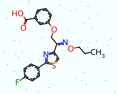 CCCON=C(COc1cccc(C(=O)O)c1)c1csc(-c2ccc(F)cc2)n1